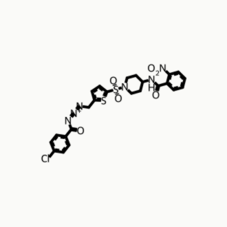 O=C(N=[N+]=NCc1ccc(S(=O)(=O)N2CCC(NC(=O)c3ccccc3[N+](=O)[O-])CC2)s1)c1ccc(Cl)cc1